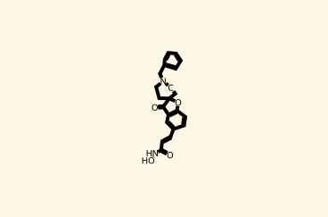 O=C(C=Cc1ccc2c(c1)C(=O)C1(CCN(Cc3ccccc3)CC1)O2)NO